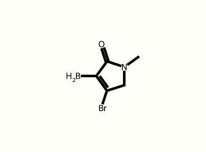 BC1=C(Br)CN(C)C1=O